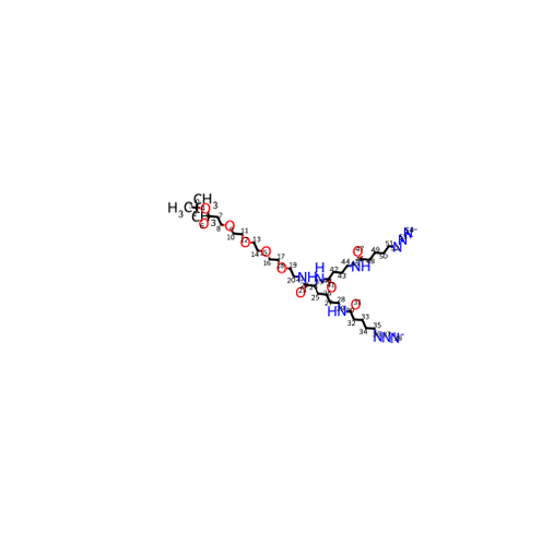 CC(C)(C)OC(=O)CCOCCOCCOCCOCCNC(=O)[C@H](CCCCNC(=O)CCCCN=[N+]=[N-])NC(=O)CCCNC(=O)CCCCN=[N+]=[N-]